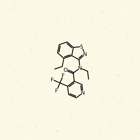 CCc1cccc2snc(N(CC)C(=O)c3cnccc3C(F)(F)F)c12